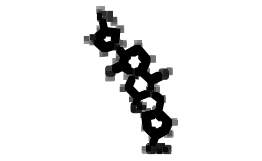 COc1ccc(CN2C(=O)c3ccc(-n4cnc(C)c4)c(=O)n3CC2C)cc1